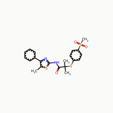 Cc1sc(NC(=O)C(C)(C)Sc2ccc(S(C)(=O)=O)cc2)nc1-c1ccccc1